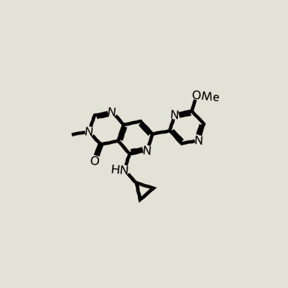 COc1cncc(-c2cc3ncn(C)c(=O)c3c(NC3CC3)n2)n1